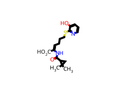 CC1(C)CC1C(=O)N/C(=C\CCCSc1ncccc1O)C(=O)O